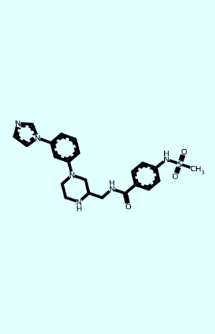 CS(=O)(=O)Nc1ccc(C(=O)NCC2CN(c3cccc(-n4ccnc4)c3)CCN2)cc1